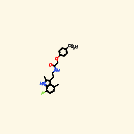 Cc1[nH]c2c(F)ccc(C)c2c1CCNC(=O)COc1ccc(C(=O)O)cc1